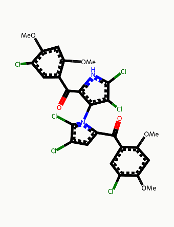 COc1cc(OC)c(C(=O)c2[nH]c(Cl)c(Cl)c2-n2c(C(=O)c3cc(Cl)c(OC)cc3OC)cc(Cl)c2Cl)cc1Cl